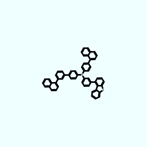 c1cc(-c2ccc(N(c3ccc(-c4cccc5ccccc45)cc3)c3cccc(-c4cccc5sc6ccccc6c45)c3)cc2)cc(-c2cccc3ccccc23)c1